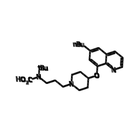 CCCCc1cc(OC2CCN(CCCN(C(=O)O)C(C)(C)C)CC2)c2ncccc2c1